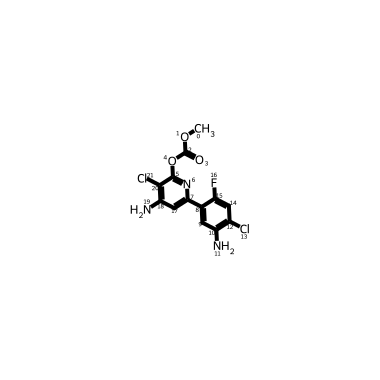 COC(=O)Oc1nc(-c2cc(N)c(Cl)cc2F)cc(N)c1Cl